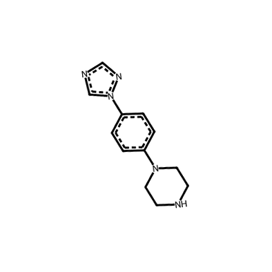 c1ncn(-c2ccc(N3CCNCC3)cc2)n1